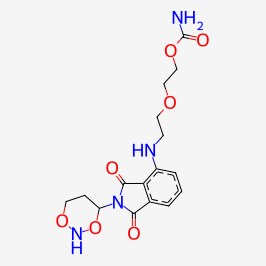 NC(=O)OCCOCCNc1cccc2c1C(=O)N(C1CCONO1)C2=O